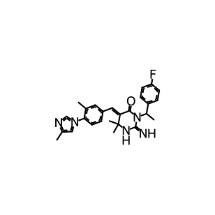 Cc1cn(-c2ccc(/C=C3/C(=O)N(C(C)c4ccc(F)cc4)C(=N)NC3(C)C)cc2C)cn1